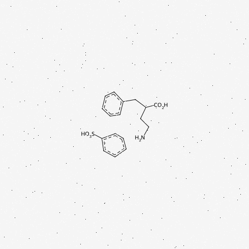 NCCC(Cc1ccccc1)C(=O)O.O=S(=O)(O)c1ccccc1